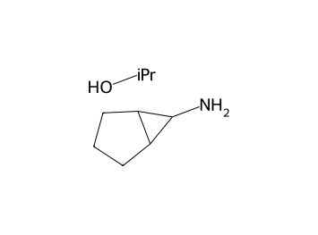 CC(C)O.NC1C2CCCC12